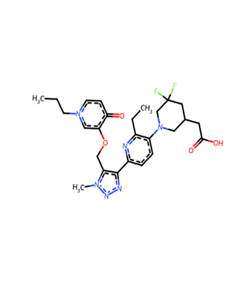 CCCn1ccc(=O)c(OCc2c(-c3ccc(N4CC(CC(=O)O)CC(F)(F)C4)c(CC)n3)nnn2C)c1